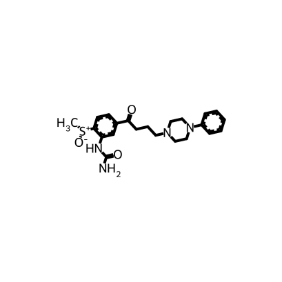 C[S+]([O-])c1ccc(C(=O)CCCN2CCN(c3ccccc3)CC2)cc1NC(N)=O